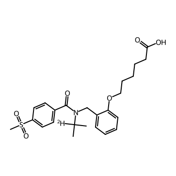 [2H]C(C)(C)N(Cc1ccccc1OCCCCCC(=O)O)C(=O)c1ccc(S(C)(=O)=O)cc1